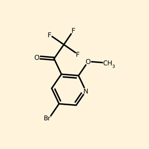 COc1ncc(Br)cc1C(=O)C(F)(F)F